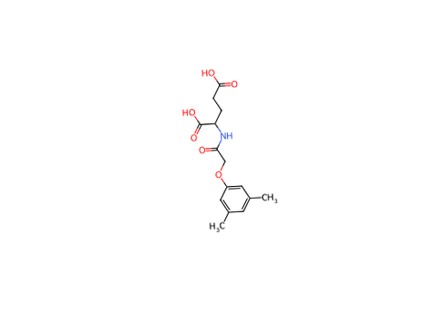 Cc1cc(C)cc(OCC(=O)NC(CCC(=O)O)C(=O)O)c1